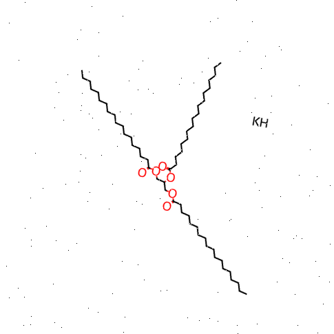 CCCCCCCCCCCCCCCCCC(=O)OCC(COC(=O)CCCCCCCCCCCCCCCCC)OC(=O)CCCCCCCCCCCCCCCCC.[KH]